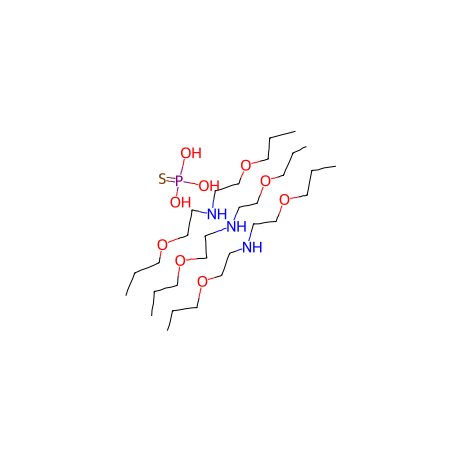 CCCOCCNCCOCCC.CCCOCCNCCOCCC.CCCOCCNCCOCCC.OP(O)(O)=S